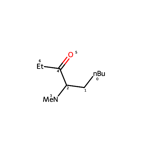 CCCCCC(NC)C(=O)CC